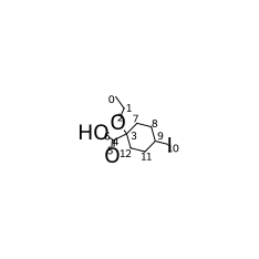 CCOC1(C(=O)O)CCC(I)CC1